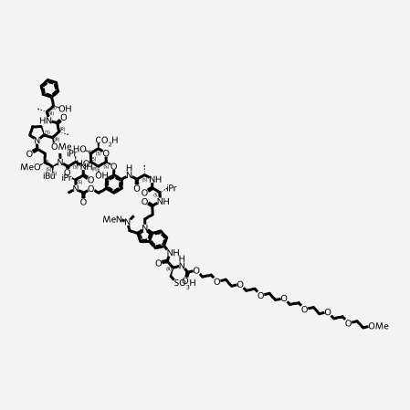 CC[C@H](C)[C@@H]([C@@H](CC(=O)N1CCC[C@H]1[C@H](OC)[C@@H](C)C(=O)N[C@H](C)[C@@H](O)c1ccccc1)OC)N(C)C(=O)[C@@H](NC(=O)[C@H](C(C)C)N(C)C(=O)OCc1ccc(NC(=O)[C@H](C)NC(=O)[C@@H](NC(=O)CCn2c(CN(C)NC)cc3cc(NC(=O)[C@H](CS(=O)(=O)O)NC(=O)OCCOCCOCCOCCOCCOCCOCCOCCOC)ccc32)C(C)C)c(O[C@@H]2O[C@H](C(=O)O)[C@@H](O)[C@H](O)[C@H]2O)c1)C(C)C